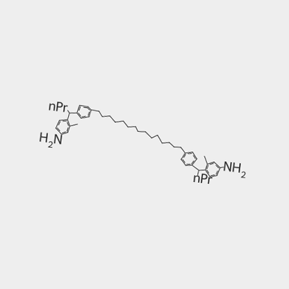 CCCC(c1ccc(CCCCCCCCCCCCCCCc2ccc(C(CCC)c3ccc(N)cc3C)cc2)cc1)c1ccc(N)cc1C